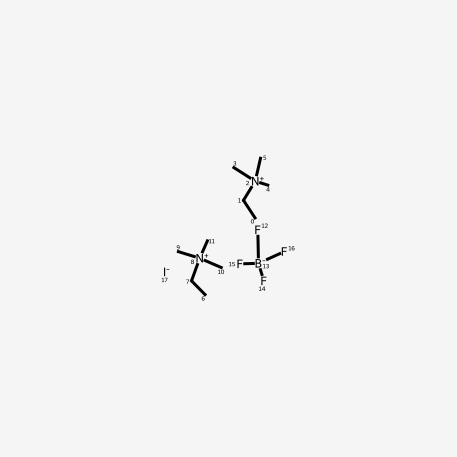 CC[N+](C)(C)C.CC[N+](C)(C)C.F[B-](F)(F)F.[I-]